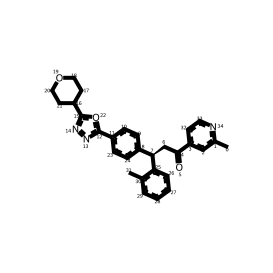 Cc1cc(C(=O)C[C@H](c2ccc(-c3nnc(C4CCOCC4)o3)cc2)c2ccccc2C)ccn1